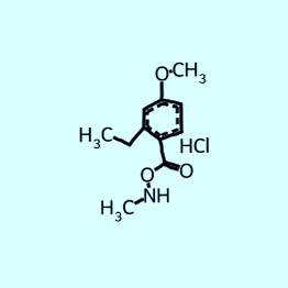 CCc1cc(OC)ccc1C(=O)ONC.Cl